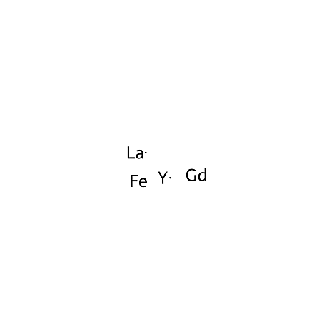 [Fe].[Gd].[La].[Y]